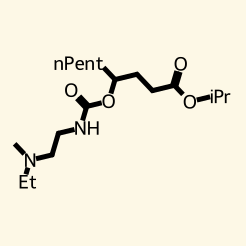 [CH2]C([CH2])OC(=O)CCC(CCCCC)OC(=O)NCCN(C)CC